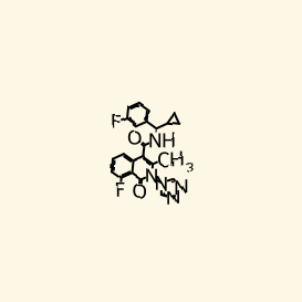 Cc1c(C(=O)N[C@H](c2cccc(F)c2)C2CC2)c2cccc(F)c2c(=O)n1-n1cnnc1